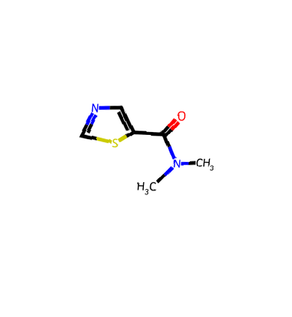 CN(C)C(=O)c1cncs1